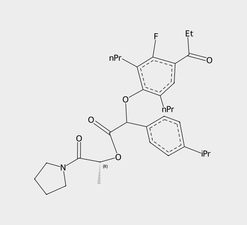 CCCc1cc(C(=O)CC)c(F)c(CCC)c1OC(C(=O)O[C@H](C)C(=O)N1CCCC1)c1ccc(C(C)C)cc1